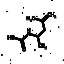 C=C(C)CC(C)NC(=O)O